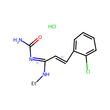 CCNC(/C=C/c1ccccc1Cl)=N/C(N)=O.Cl